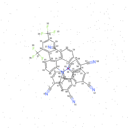 N#Cc1ccc2c(c1)c1cc(C#N)ccc1n2-c1cccc(C#N)c1-c1c(-c2ccc(C(F)(F)F)cc2C(F)(F)F)cccc1-n1c2ccc(C#N)cc2c2cc(C#N)ccc21